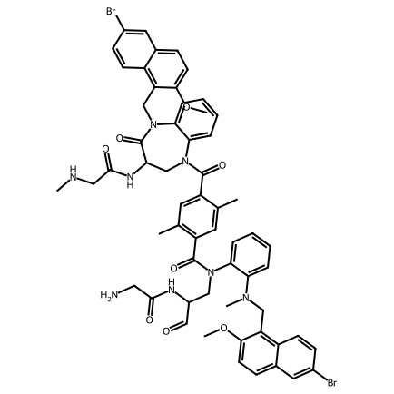 CNCC(=O)NC1CN(C(=O)c2cc(C)c(C(=O)N(CC(C=O)NC(=O)CN)c3ccccc3N(C)Cc3c(OC)ccc4cc(Br)ccc34)cc2C)c2ccccc2N(Cc2c(OC)ccc3cc(Br)ccc23)C1=O